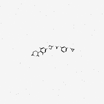 O=C1CCC(c2c(F)cc(N3CC(OC(=O)Nc4cccc(OC5CC5)c4)C3)cc2F)C(=O)N1